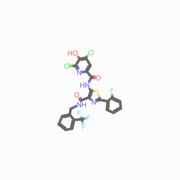 O=C(Nc1sc(-c2ccccc2F)nc1C(=O)NCc1ccccc1C(F)(F)F)c1cc(Cl)c(O)c(Cl)n1